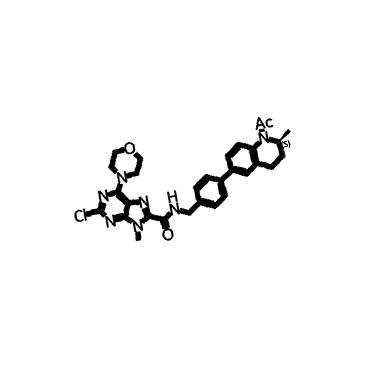 CC(=O)N1c2ccc(-c3ccc(CNC(=O)c4nc5c(N6CCOCC6)nc(Cl)nc5n4C)cc3)cc2CC[C@@H]1C